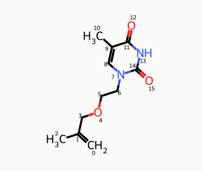 C=C(C)COCCn1cc(C)c(=O)[nH]c1=O